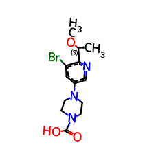 CO[C@@H](C)c1ncc(N2CCN(C(=O)O)CC2)cc1Br